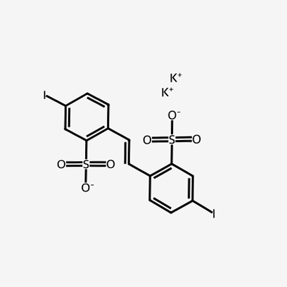 O=S(=O)([O-])c1cc(I)ccc1/C=C/c1ccc(I)cc1S(=O)(=O)[O-].[K+].[K+]